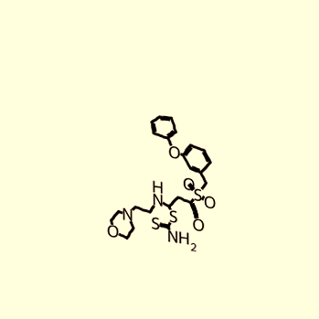 NC(=S)SC(CC(=C=O)S(=O)(=O)Cc1cccc(Oc2ccccc2)c1)NCCN1CCOCC1